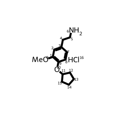 COc1cc(CCN)ccc1OC1CCCC1.Cl